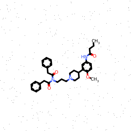 CCCC(=O)Nc1ccc(OC)c(C2CCN(CCCN(C(=O)Cc3ccccc3)C(=O)Cc3ccccc3)CC2)c1